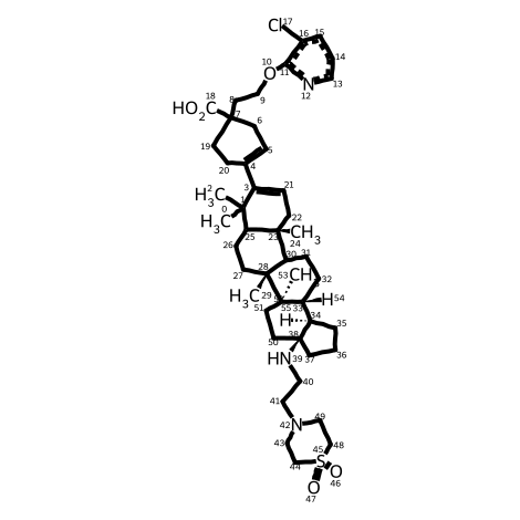 CC1(C)C(C2=CCC(CCOc3ncccc3Cl)(C(=O)O)CC2)=CC[C@@]2(C)C1CC[C@]1(C)C2CC[C@@H]2[C@H]3CCC[C@]3(NCCN3CCS(=O)(=O)CC3)CC[C@]21C